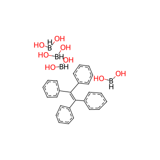 OBO.OBO.OBO.OBO.c1ccc(C(=C(c2ccccc2)c2ccccc2)c2ccccc2)cc1